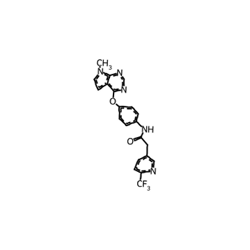 Cn1ccc2c(Oc3ccc(NC(=O)Cc4ccc(C(F)(F)F)nc4)cc3)ncnc21